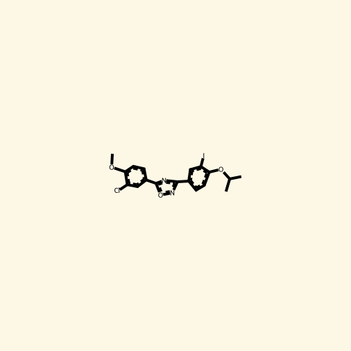 COc1ccc(-c2nc(-c3ccc(OC(C)C)c(I)c3)no2)cc1Cl